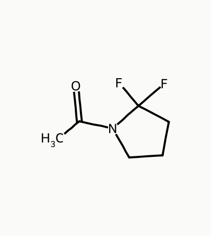 CC(=O)N1CCCC1(F)F